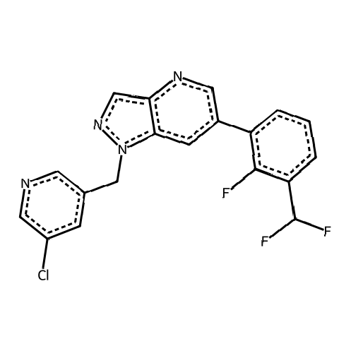 Fc1c(-c2cnc3cnn(Cc4cncc(Cl)c4)c3c2)cccc1C(F)F